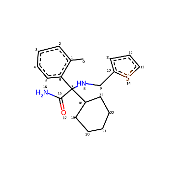 Cc1ccccc1C(NCc1cccs1)(C(N)=O)C1CCCCC1